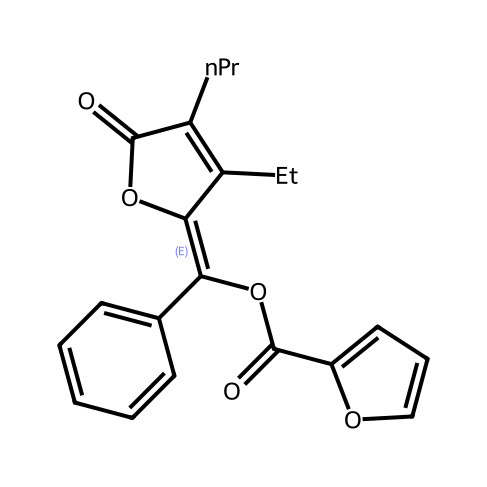 CCCC1=C(CC)/C(=C(\OC(=O)c2ccco2)c2ccccc2)OC1=O